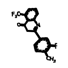 Cc1ccc(C2=Nc3cccc(C(F)(F)F)c3C(=O)C2)cc1F